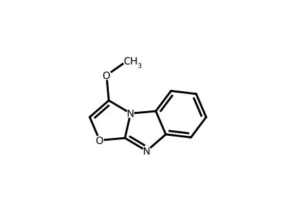 COc1coc2nc3ccccc3n12